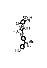 CCCCC(CC)C(c1ccc(O)cc1)c1ccc(/N=N/c2c(C)nn(-c3cc(Cl)c(S(=O)(=O)O)cc3Cl)c2O)cc1